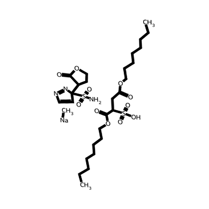 CCCCCCCCOC(=O)CC(C(=O)OCCCCCCCC)S(=O)(=O)O.NS(=O)(=O)C1(C2CCOC2=O)C=CN=N1.[CH3][Na]